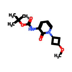 CO[C@H]1C[C@@H](n2cccc(NC(=O)OC(C)(C)C)c2=O)C1